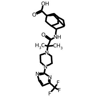 CC(C)(C(=O)NC1C2CC3CC1CC(C(=O)O)(C3)C2)N1CCN(c2nccc(C(F)(F)F)n2)CC1